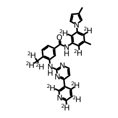 [2H]c1nc([2H])c(-c2ccnc(Nc3cc(C(=O)Nc4c([2H])c(C)c([2H])c(-n5ccc(C)c5)c4[2H])ccc3C([2H])([2H])[2H])n2)c([2H])c1[2H]